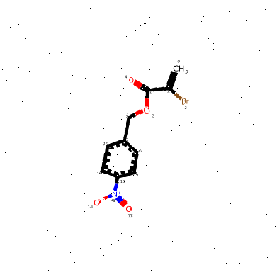 C=C(Br)C(=O)OCc1ccc([N+](=O)[O-])cc1